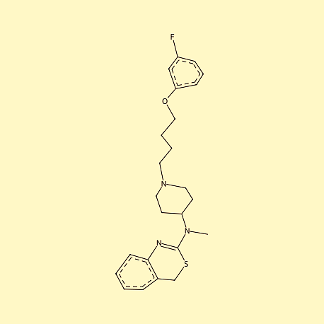 CN(C1=Nc2ccccc2CS1)C1CCN(CCCCOc2cccc(F)c2)CC1